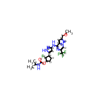 COCc1cc2c(Nc3cc([C@H]4CC[C@@H](OC(=O)NC(C)C)[C@H]4F)[nH]n3)nc(C(F)(F)F)cn2n1